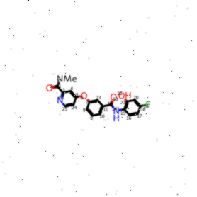 CNC(=O)c1cc(Oc2cccc(C(=O)Nc3ccc(F)cc3O)c2)ccn1